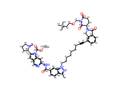 Cc1nn(CCCCCCCC#Cc2cccc3c2CN(C2CCC(=O)N(COCC[Si](C)(C)C)C2=O)C3=O)c2cc(C(=O)Nc3cc4c(cn3)cc([C@H]3CCCN3C)n4C(=O)OC(C)(C)C)ccc12